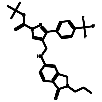 CCCN1Cc2cc(NCc3cn(C(=O)OC(C)(C)C)nc3-c3ccc(C(F)(F)F)cc3)ccc2C1=O